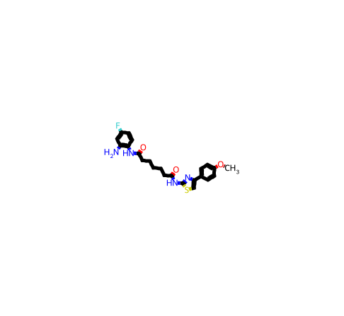 COc1ccc(-c2csc(NC(=O)CCCCCC(=O)Nc3ccc(F)cc3N)n2)cc1